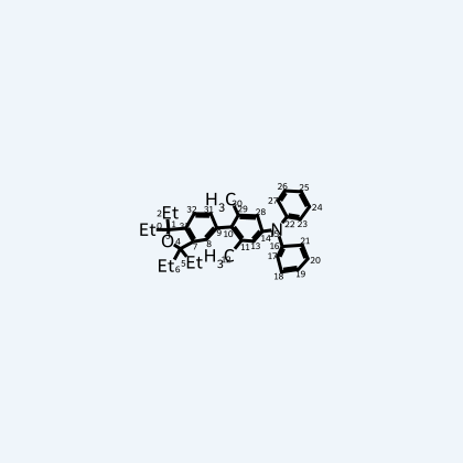 CCC1(CC)OC(CC)(CC)c2cc(-c3c(C)cc(N(c4ccccc4)c4ccccc4)cc3C)ccc21